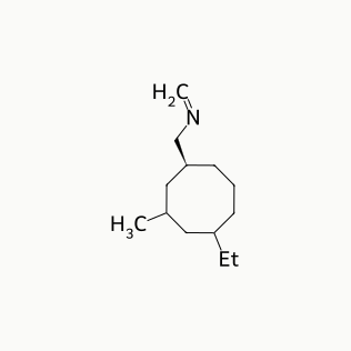 C=NC[C@H]1CCCC(CC)CC(C)C1